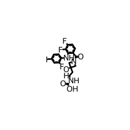 O=C(O)NCCC1(O)CN(C(=O)c2ccc(F)c(F)c2Nc2ccc(I)cc2F)C1